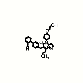 CCCc1c(Cc2ccc(-c3ccccc3C#N)cc2)c(=O)n([C@H]2CC[C@H](OCCO)CC2)c2ccnn12